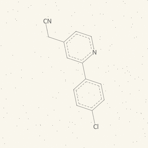 N#CCc1ccnc(-c2ccc(Cl)cc2)c1